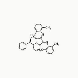 Cc1cccc(C)c1N=C1C(=Nc2c(C)cccc2C)c2ccc(-c3ccccc3)c3cccc1c23